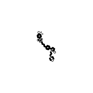 Cc1ccc(S(=O)(=O)OCCCCc2ccc(C3CCC(=O)N3CCCN3CCOCC3)cc2)cc1